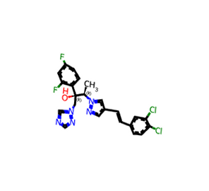 C[C@@H](n1cc(C=Cc2ccc(Cl)c(Cl)c2)cn1)[C@](O)(Cn1cncn1)c1ccc(F)cc1F